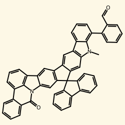 Cn1c2cc3c(cc2c2cccc(-c4ccccc4C=O)c21)-c1cc2c4cccc5c6ccccc6c(=O)n(c2cc1C31c2ccccc2-c2ccccc21)c54